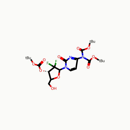 CC(C)(C)OC(=O)O[C@H]1C(CO)OC(n2ccc(N(C(=O)OC(C)(C)C)C(=O)OC(C)(C)C)nc2=O)C1(F)F